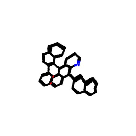 c1ccc(-c2ccc3ccccc3c2-c2c3ccccc3c(-c3ccc4ccccc4c3)c3ncccc23)cc1